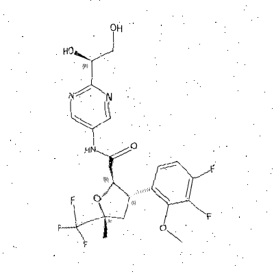 COc1c([C@@H]2C[C@](C)(C(F)(F)F)O[C@H]2C(=O)Nc2cnc([C@@H](O)CO)nc2)ccc(F)c1F